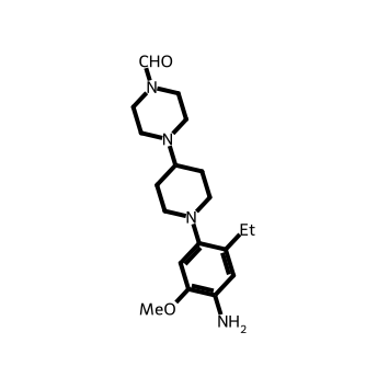 CCc1cc(N)c(OC)cc1N1CCC(N2CCN(C=O)CC2)CC1